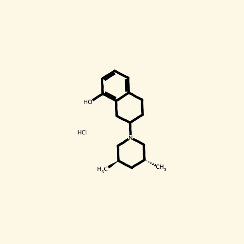 C[C@@H]1C[C@@H](C)CN(C2CCc3cccc(O)c3C2)C1.Cl